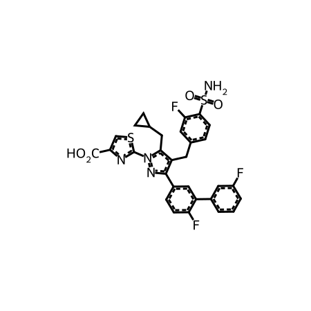 NS(=O)(=O)c1ccc(Cc2c(-c3ccc(F)c(-c4cccc(F)c4)c3)nn(-c3nc(C(=O)O)cs3)c2CC2CC2)cc1F